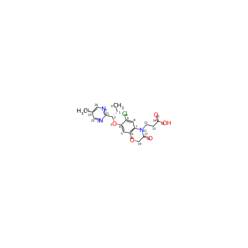 CC[C@H](Oc1cc2c(cc1Cl)N(CCC(=O)O)C(=O)CO2)c1ncc(C)cn1